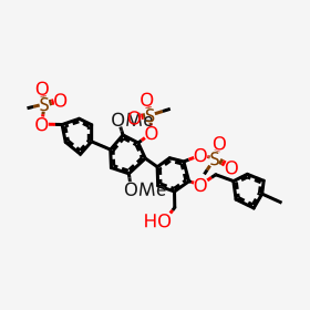 COc1cc(-c2ccc(OS(C)(=O)=O)cc2)c(OC)c(OS(C)(=O)=O)c1-c1cc(CO)c(OCc2ccc(C)cc2)c(OS(C)(=O)=O)c1